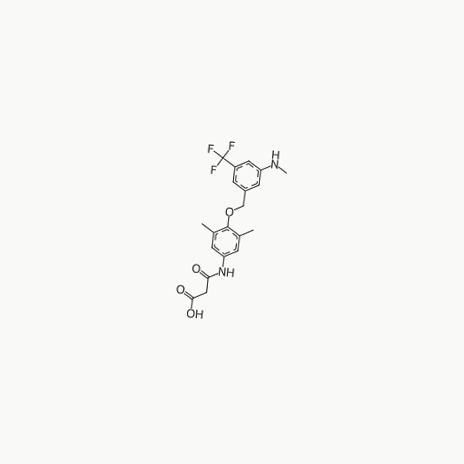 CNc1cc(COc2c(C)cc(NC(=O)CC(=O)O)cc2C)cc(C(F)(F)F)c1